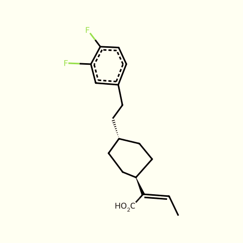 CC=C(C(=O)O)[C@H]1CC[C@H](CCc2ccc(F)c(F)c2)CC1